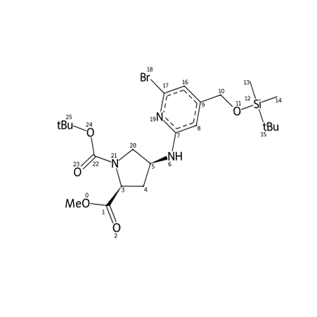 COC(=O)[C@@H]1C[C@H](Nc2cc(CO[Si](C)(C)C(C)(C)C)cc(Br)n2)CN1C(=O)OC(C)(C)C